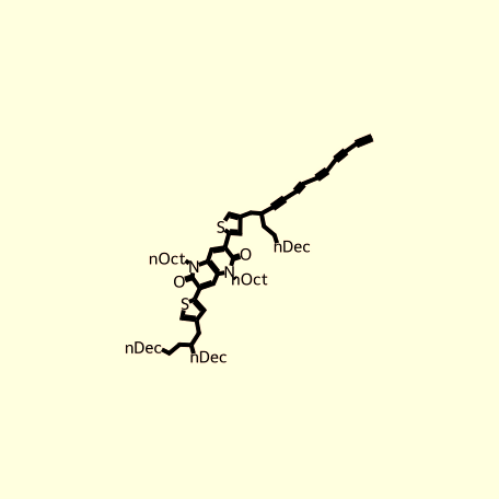 C#CC#CC#CC#CC#CC(CCCCCCCCCCCC)Cc1csc(-c2cc3c(cc(-c4cc(CC(CCCCCCCCCC)CCCCCCCCCCCC)cs4)c(=O)n3CCCCCCCC)n(CCCCCCCC)c2=O)c1